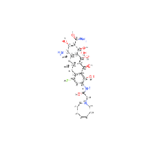 NC(=O)C1=C(O)[C@@H](N)[C@@H]2C[C@@H]3Cc4c(F)cc(NC(=O)CN5CCCCCCC5)c(O)c4C(=O)C3=C(O)[C@]2(O)C1=O